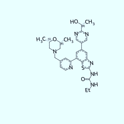 CCNC(=O)Nc1nc2cc(-c3cnc([C@@H](C)O)nc3)cc(-c3cc(CN4C[C@@H](C)O[C@@H](C)C4)ccn3)c2s1